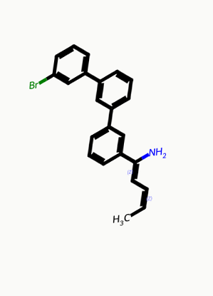 C/C=C\C=C(/N)c1cccc(-c2cccc(-c3cccc(Br)c3)c2)c1